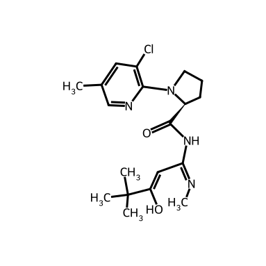 C/N=C(\C=C(/O)C(C)(C)C)NC(=O)[C@@H]1CCCN1c1ncc(C)cc1Cl